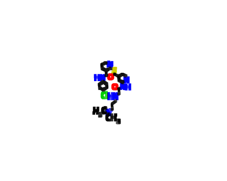 CN(C)CCCNCC(=O)Nc1cc(CSc2ncccc2C(=O)Nc2ccc(Cl)cc2)ccn1